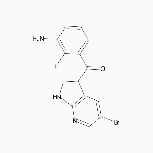 Nc1cccc(C(=O)C2CNc3ncc(Br)cc32)c1F